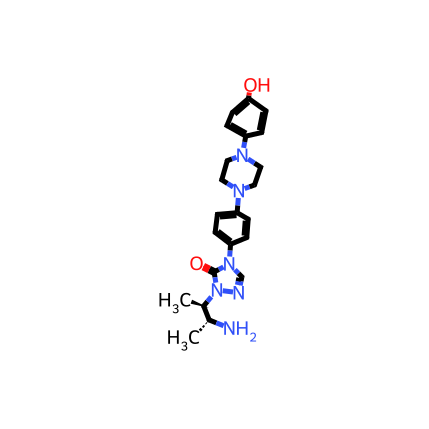 C[C@H]([C@@H](C)N)n1ncn(-c2ccc(N3CCN(c4ccc(O)cc4)CC3)cc2)c1=O